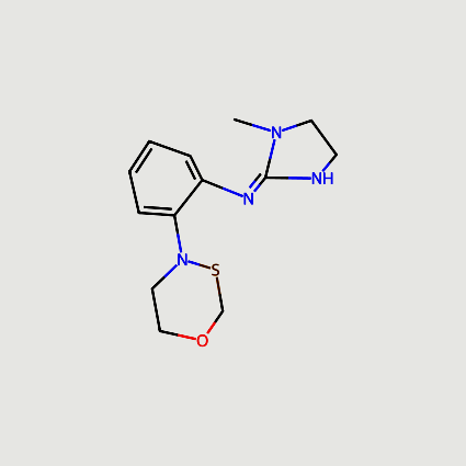 CN1CCNC1=Nc1ccccc1N1CCOCS1